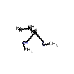 CCCCC/C=C\C/C=C\CCCCCCCCC1(CCCCCCCC/C=C\C/C=C\CCCCC)OCC(CCN(C)CCCCCCN=[N+]=[N-])O1